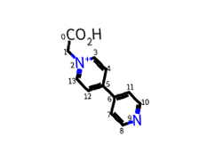 O=C(O)C[n+]1ccc(-c2ccncc2)cc1